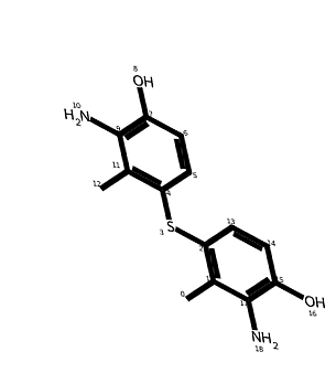 Cc1c(Sc2ccc(O)c(N)c2C)ccc(O)c1N